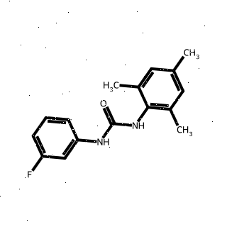 Cc1cc(C)c(NC(=O)Nc2[c]ccc(F)c2)c(C)c1